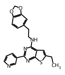 CCc1cc2c(NCCc3ccc4c(c3)OCO4)nc(-c3cccnc3)nc2s1